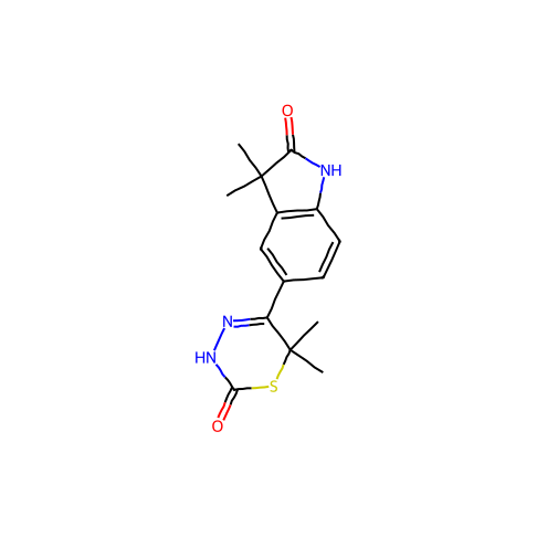 CC1(C)SC(=O)NN=C1c1ccc2c(c1)C(C)(C)C(=O)N2